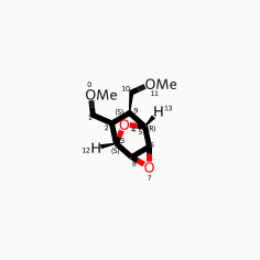 COCC1[C@@H]2O[C@@H](C3OC32)[C@@H]1COC